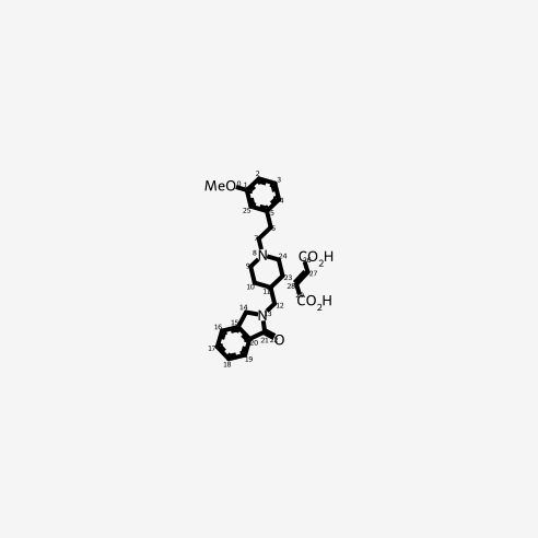 COc1cccc(CCN2CCC(CN3Cc4ccccc4C3=O)CC2)c1.O=C(O)/C=C/C(=O)O